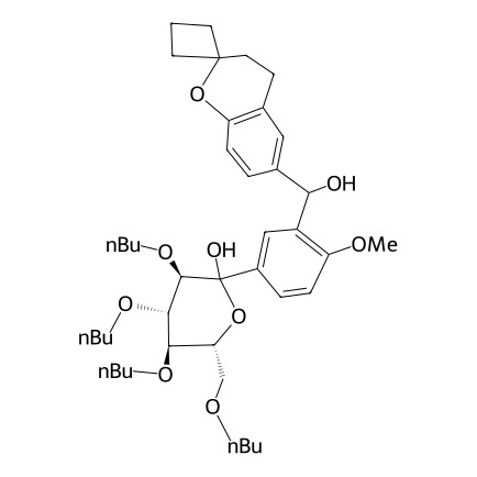 CCCCOC[C@H]1OC(O)(c2ccc(OC)c(C(O)c3ccc4c(c3)CCC3(CCC3)O4)c2)[C@H](OCCCC)[C@@H](OCCCC)[C@@H]1OCCCC